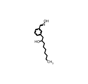 CCCCCCCC(O)Cc1cccc(C=NO)c1